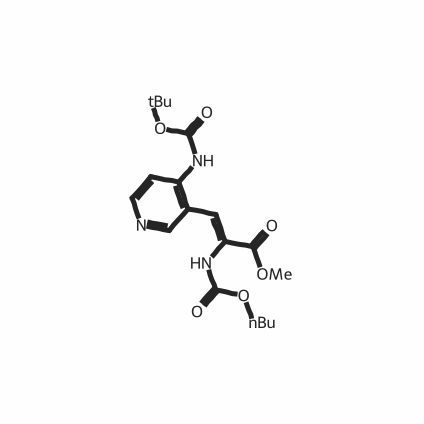 CCCCOC(=O)NC(=Cc1cnccc1NC(=O)OC(C)(C)C)C(=O)OC